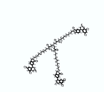 CN1Cc2c(Cl)cc(Cl)cc2C(c2ccc3c(c2)C(=O)N(CCOCCOCCOCCNC(=O)CCN(CCC(=O)NCCOCCOCCOCCN2Cc4ccc(C5CN(C)Cc6c(Cl)cc(Cl)cc65)cc4C2=O)CCC(=O)NCCOCCOCCOCCN2Cc4ccc(C5CN(C)Cc6c(Cl)cc(Cl)cc65)cc4C2=O)C3)C1